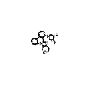 F[C@@H]1CN(c2nccc(-c3ccccc3)c2-c2nc3c([nH]2)COCC3)C[C@@H]1F